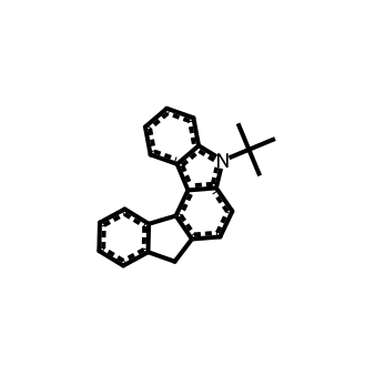 CC(C)(C)n1c2ccccc2c2c3c(ccc21)Cc1ccccc1-3